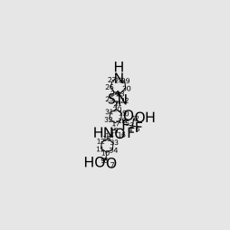 O=C(O)C(F)(F)F.O=C(O)[C@H]1CC[C@H](NC(=O)[C@H]2CC[C@H](c3nc4c(s3)CCNCC4)CC2)CC1